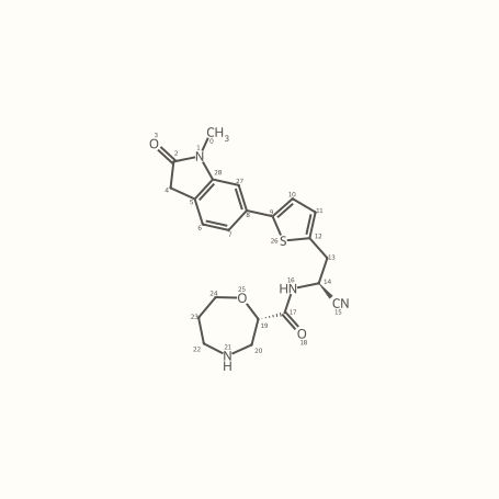 CN1C(=O)Cc2ccc(-c3ccc(C[C@@H](C#N)NC(=O)[C@@H]4CNCCCO4)s3)cc21